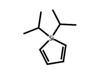 CC(C)[Si]1(C(C)C)C=CC=C1